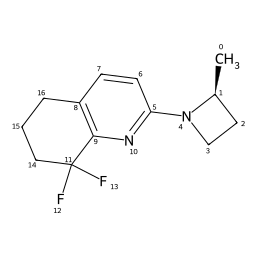 C[C@H]1CCN1c1ccc2c(n1)C(F)(F)CCC2